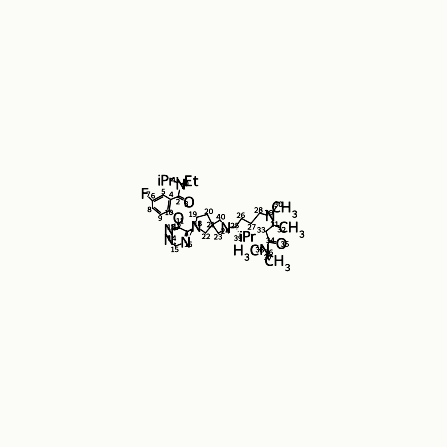 CCN(C(=O)c1cc(F)ccc1Oc1nncnc1N1CCC2(C1)CN([C@H](CCCN(C)[C@@H](C)CC(=O)N(C)C)C(C)C)C2)C(C)C